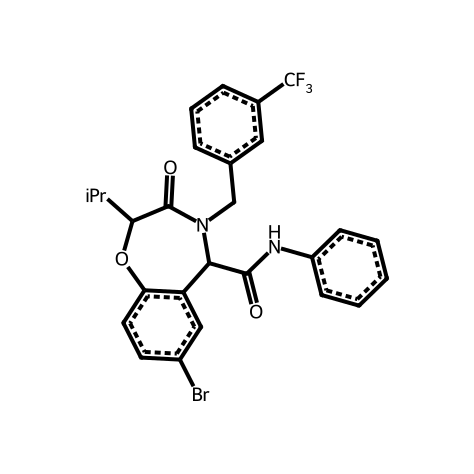 CC(C)C1Oc2ccc(Br)cc2C(C(=O)Nc2ccccc2)N(Cc2cccc(C(F)(F)F)c2)C1=O